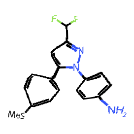 CSc1ccc(-c2cc(C(F)F)nn2-c2ccc(N)cc2)cc1